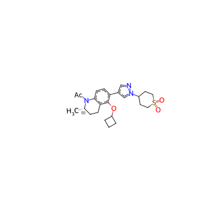 CC(=O)N1c2ccc(-c3cnn(C4CCS(=O)(=O)CC4)c3)c(OC3CCC3)c2CC[C@@H]1C